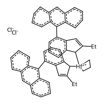 CCC1=Cc2c(-c3c4ccccc4cc4ccccc34)cccc2[CH]1[Hf+2]1([CH]2C(CC)=Cc3c(-c4c5ccccc5cc5ccccc45)cccc32)[CH2]C[CH2]1.[Cl-].[Cl-]